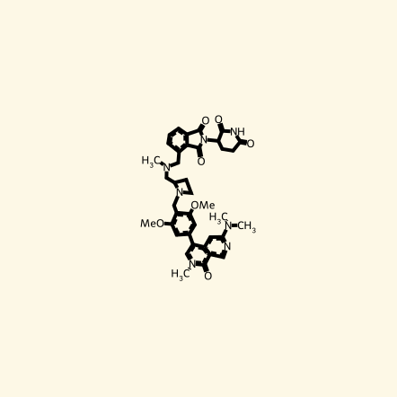 COc1cc(-c2cn(C)c(=O)c3cnc(N(C)C)cc23)cc(OC)c1CN1CCC1CN(C)Cc1cccc2c1C(=O)N(C1CCC(=O)NC1=O)C2=O